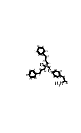 CC(N)Cc1ccc(OCP(=O)(CCCc2ccccc2)CCCc2ccccc2)cc1